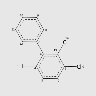 Clc1ccc(I)c(-c2ccccc2)c1Cl